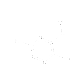 CC(C)c1ncc(C(C)(C)C)nc1CO